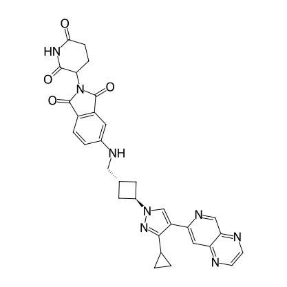 O=C1CCC(N2C(=O)c3ccc(NC[C@H]4C[C@H](n5cc(-c6cc7nccnc7cn6)c(C6CC6)n5)C4)cc3C2=O)C(=O)N1